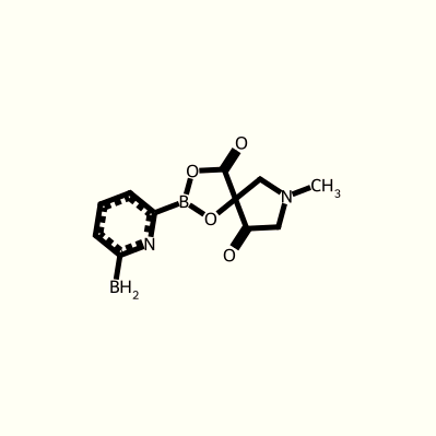 Bc1cccc(B2OC(=O)C3(CN(C)CC3=O)O2)n1